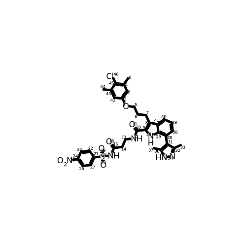 Cc1cc(OCCCc2c(C(=O)NCCC(=O)NS(=O)(=O)c3ccc([N+](=O)[O-])cc3)[nH]c3c(-c4c(C)n[nH]c4C)cccc23)cc(C)c1Cl